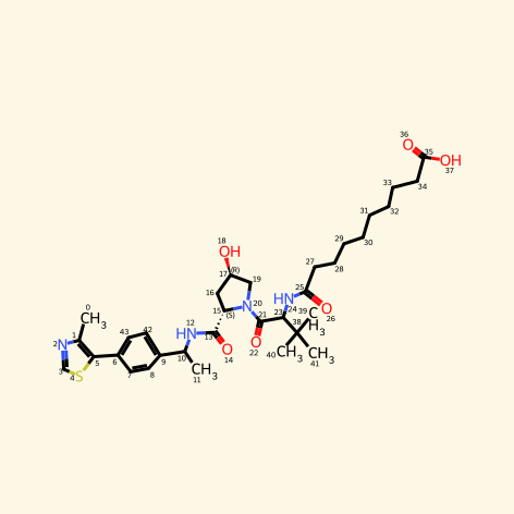 Cc1ncsc1-c1ccc(C(C)NC(=O)[C@@H]2C[C@@H](O)CN2C(=O)C(NC(=O)CCCCCCCCC(=O)O)C(C)(C)C)cc1